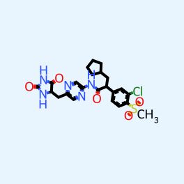 CS(=O)(=O)c1ccc(C(CC2CCCC2)C(=O)Nc2cnc(CC3NC(=O)NC3=O)cn2)cc1Cl